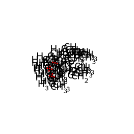 C=C(C)c1cc(CC2=CC(Cc3cc(C(C)(C)C)c(O)c(C(C)(C)C)c3)CC=C2Nc2ccc(C(Cc3cc(C(C)(C)C)c(O)c(C(C)(C)C)c3)C3=CC(C(=C)C)C(O)C(C(C)(C)C)=C3)cc2Cc2cc(Cc3cc(C(C)(C)C)c(O)c(C(C)(C)C)c3)cc(Cc3cc(C(C)(C)C)c(O)c(C(C)(C)C)c3)c2Nc2ccc(Cc3cc(C(=C)C)c(O)c(C(C)(C)C)c3)cc2)cc(C(C)(C)C)c1O